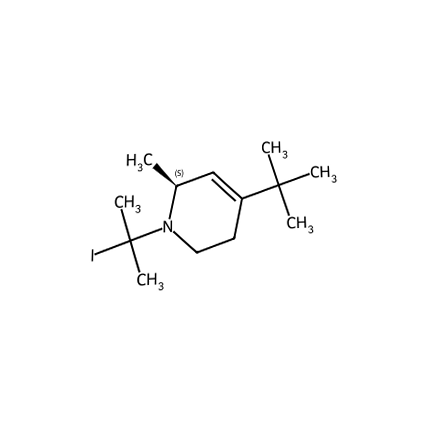 C[C@H]1C=C(C(C)(C)C)CCN1C(C)(C)I